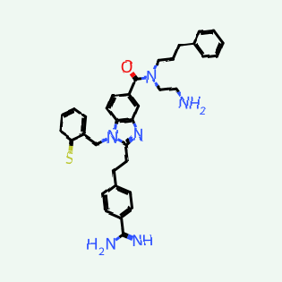 N=C(N)c1ccc(CCc2nc3cc(C(=O)N(CCN)CCCc4ccccc4)ccc3n2CC2=CC=CCC2=S)cc1